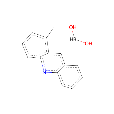 Cc1cccc2nc3ccccc3cc12.OBO